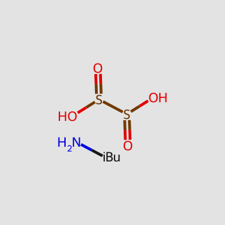 CCC(C)N.O=S(O)S(=O)O